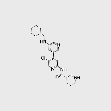 O=C(Nc1cc(-c2cncc(NCC3CCCCC3)n2)c(Cl)cn1)[C@H]1CCCNC1